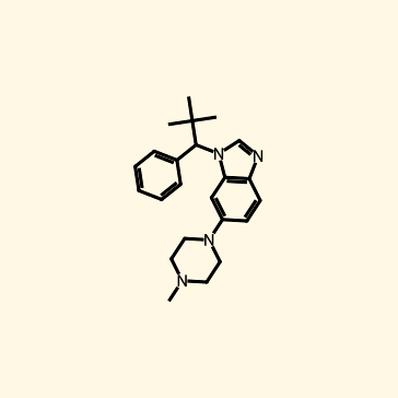 CN1CCN(c2ccc3ncn(C(c4ccccc4)C(C)(C)C)c3c2)CC1